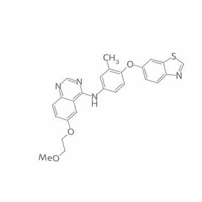 COCCOc1ccc2ncnc(Nc3ccc(Oc4ccc5ncsc5c4)c(C)c3)c2c1